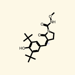 CONC(=O)N1CC/C(=C/c2cc(C(C)(C)C)c(O)c(C(C)(C)C)c2)C1=O